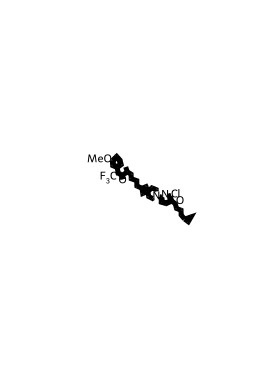 COc1cccc([C@@H](C(=O)C(C)CCCCC2CC3(CCN(c4ccc(C(=O)CCCC5CC5)c(Cl)n4)CC3)C2)C(F)(F)F)c1